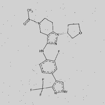 CC(=O)N1CCc2c(c(Nc3ccc(-c4c[nH]nc4C(F)(F)F)cc3F)nn2[C@@H]2CCOC2)C1